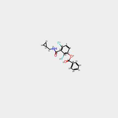 O=C(Oc1ccc(F)c(C(=O)NCC2CC2)c1F)c1ccccc1